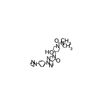 CN(C)C(=O)N1CCC(O)(Cn2cnc3c(cnn3-c3ccc(-n4cccn4)cc3)c2=O)CC1